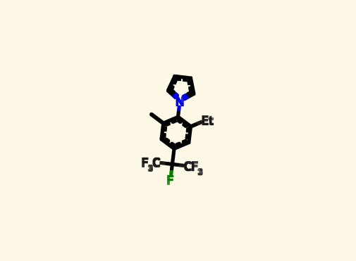 CCc1cc(C(F)(C(F)(F)F)C(F)(F)F)cc(C)c1-n1cccc1